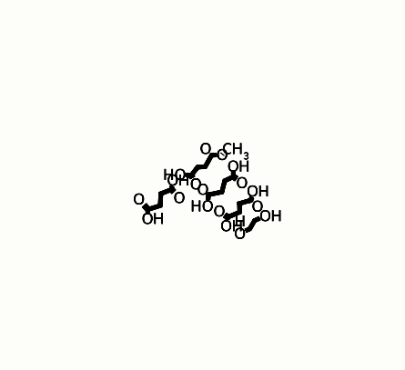 COC(=O)CCC(=O)O.O=C(O)CCC(=O)O.O=C(O)CCC(=O)O.O=C(O)CCC(=O)O.OCCO